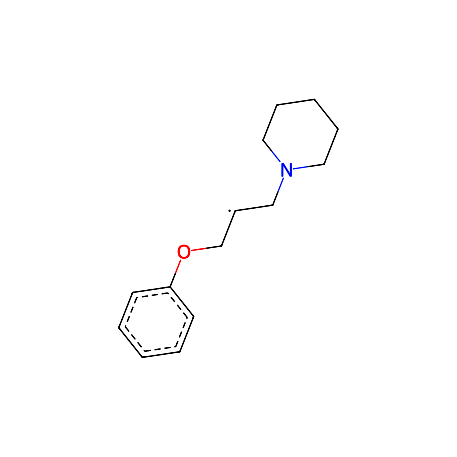 [CH](COc1ccccc1)CN1CCCCC1